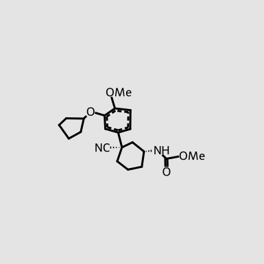 COC(=O)N[C@@H]1CCC[C@@](C#N)(c2ccc(OC)c(OC3CCCC3)c2)C1